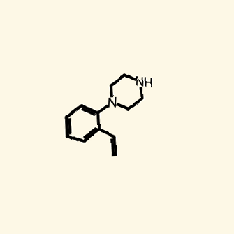 C=Cc1ccccc1N1CCNCC1